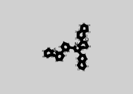 c1cc(-c2cc(-c3ccc4ccccc4c3)c3ccc4oc5c6ccccc6ccc5c4c3n2)cc(-c2cccc3c2sc2ccccc23)c1